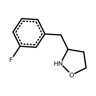 Fc1cccc(CC2CCON2)c1